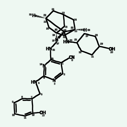 N#Cc1cnc(NCc2ccccc2O)nc1NC[C@@]12CC3C[C@H](C1)[C@@H](NC1CCC(O)CC1)[C@@H](C3)C2